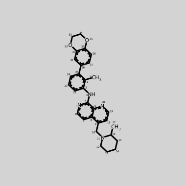 Cc1c(Nc2nccc3c(CN4CCCCC4C)ccnc23)cccc1-c1ccc2c(c1)OCCO2